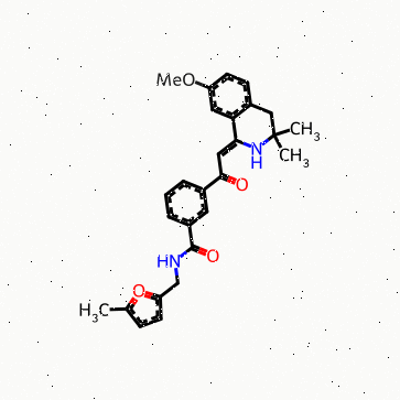 COc1ccc2c(c1)C(=CC(=O)c1cccc(C(=O)NCc3ccc(C)o3)c1)NC(C)(C)C2